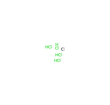 Cl.Cl.Cl.Cl.[C]